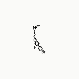 C=CCN(C)CCCCCCOc1ccc(-c2ccc(Br)cc2)c(F)c1